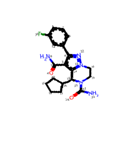 NC(=O)c1c(-c2cccc(F)c2)nn2c1C(C1CCCC1)N(C(N)=O)CC2